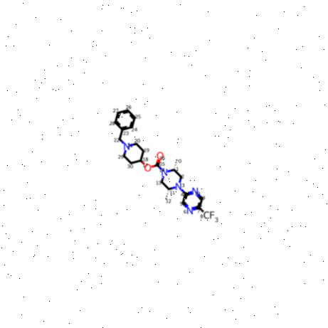 C[C@@H]1CN(c2cnc(C(F)(F)F)cn2)[C@H](C)CN1C(=O)OC1CCN(Cc2ccccc2)CC1